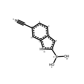 N#Cc1ccc2cc(B(O)O)[nH]c2c1